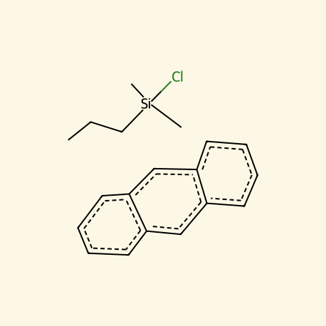 CCC[Si](C)(C)Cl.c1ccc2cc3ccccc3cc2c1